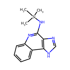 C[Si](C)(C)Nc1nc2ccccc2c2[nH]cnc12